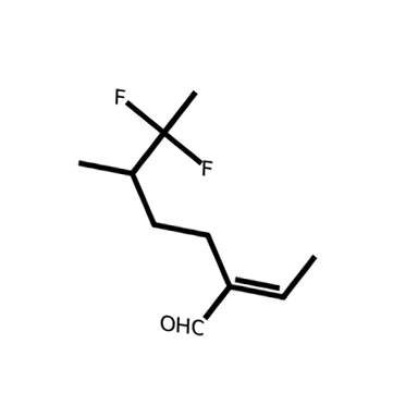 C/C=C(/C=O)CCC(C)C(C)(F)F